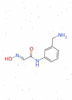 NCc1cccc(NC(=O)C=NO)c1